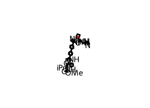 COC(=O)N[C@H](C(=O)N1CCC[C@H]1c1ncc(-c2ccc(-c3ccc(-c4cnc([C@@H]5C6CCC(C6)C5C(=O)NCc5cnccn5)[nH]4)cc3)cc2)[nH]1)C(C)C